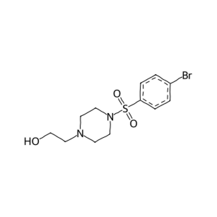 O=S(=O)(c1ccc(Br)cc1)N1CCN(CCO)CC1